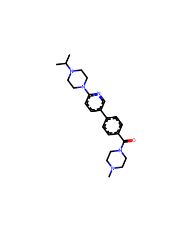 CC(C)N1CCN(c2ccc(-c3ccc(C(=O)N4CCN(C)CC4)cc3)cn2)CC1